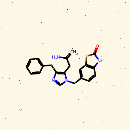 C=C(N)Cc1c(Cc2ccccc2)ncn1Cc1ccc2[nH]c(=O)sc2c1